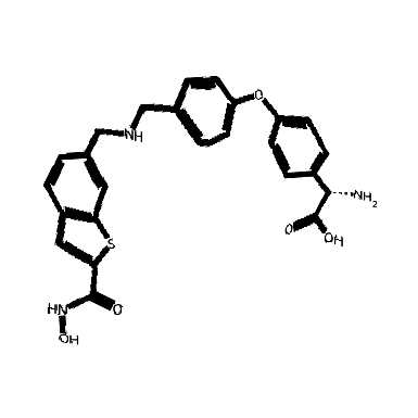 N[C@H](C(=O)O)c1ccc(Oc2ccc(CNCc3ccc4cc(C(=O)NO)sc4c3)cc2)cc1